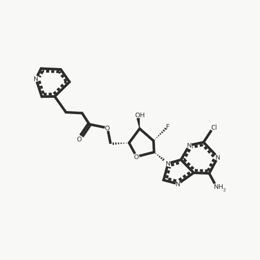 Nc1nc(Cl)nc2c1ncn2[C@@H]1O[C@H](COC(=O)CCc2cccnc2)[C@@H](O)[C@@H]1F